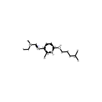 CCN(C)/C=N/c1ccc(OCCCC(C)C)nc1C